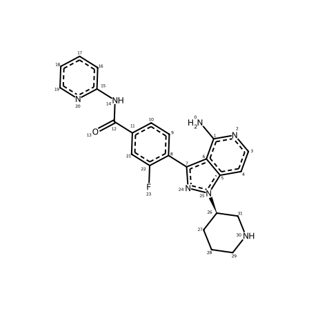 Nc1nccc2c1c(-c1ccc(C(=O)Nc3ccccn3)cc1F)nn2[C@@H]1CCCNC1